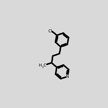 CC(CCc1cccc(Cl)c1)c1ccncc1